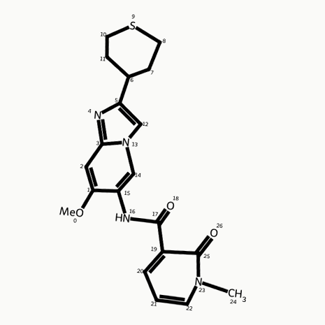 COc1cc2nc(C3CCSCC3)cn2cc1NC(=O)c1cccn(C)c1=O